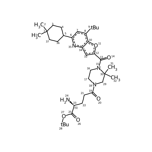 CC1(C)CCC(c2cc(C(C)(C)C)c3oc(C(=O)N4CCN(C(=O)CC[C@H](N)C(=O)OC(C)(C)C)CC4(C)C)cc3n2)CC1